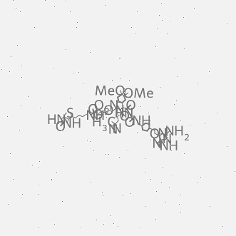 COc1cc(C(C(=O)NCC(=O)NCc2ccc(COc3nc(N)nc4[nH]cnc34)cc2)N(CCOCCOC(=O)NCCCCC2SCC3NC(=O)NC32)C(=O)CCC2(C)N=N2)c([N+](=O)[O-])cc1OC